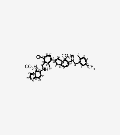 Cc1ccc(C(F)(F)F)cc1CNc1ccc2cc(-c3ccc(Cl)c(CNc4ccc5nccn5c4C(=O)O)c3C)cn2c1C(=O)O